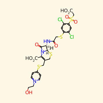 O=C(O)CS(=O)(=O)c1cc(Cl)c(SCC(=O)N[C@H]2C(=O)N3C(C(=O)O)=C(CSc4cc[n+](CCO)cc4)CS[C@H]23)cc1Cl